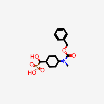 CN(C(=O)OCc1ccccc1)C1CCC(C(O)S(=O)(=O)O)CC1